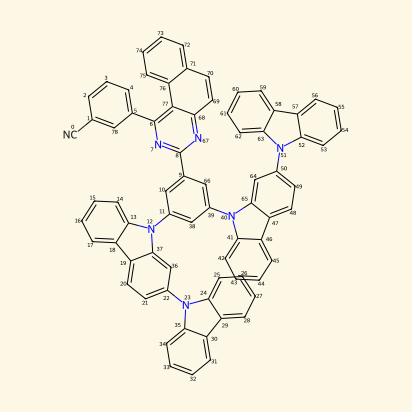 N#Cc1cccc(-c2nc(-c3cc(-n4c5ccccc5c5ccc(-n6c7ccccc7c7ccccc76)cc54)cc(-n4c5ccccc5c5ccc(-n6c7ccccc7c7ccccc76)cc54)c3)nc3ccc4ccccc4c23)c1